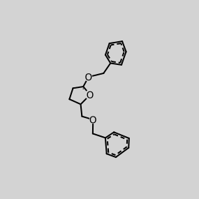 c1ccc(COCC2CC[C](OCc3ccccc3)O2)cc1